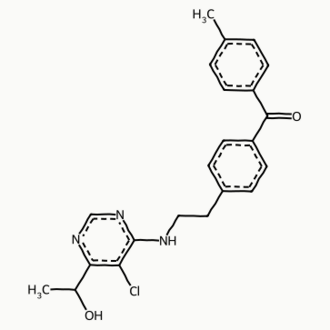 Cc1ccc(C(=O)c2ccc(CCNc3ncnc(C(C)O)c3Cl)cc2)cc1